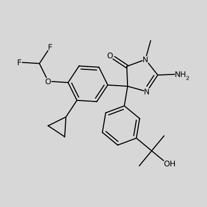 CN1C(=O)C(c2cccc(C(C)(C)O)c2)(c2ccc(OC(F)F)c(C3CC3)c2)N=C1N